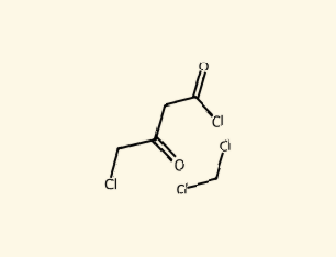 ClCCl.O=C(Cl)CC(=O)CCl